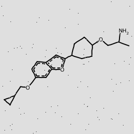 CC(N)COC1CCC(c2cc3ccc(OCC4CC4)cc3o2)CC1